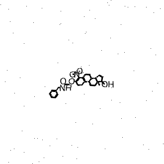 CC12CCC3C4=C(CCC3C1CCC2O)C([N+](=O)[O-])=C(OCC(=O)NCc1ccccc1)CC4